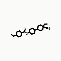 CCC1CCC(C(=O)OC2CCC(C3CCC(C#N)(CC)CC3)CC2)CC1